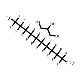 O=C(O)C(F)(F)C(F)(F)C(F)(F)C(F)(F)C(F)(F)C(F)(F)C(F)(F)C(F)(F)C(F)(F)C(F)(F)C(F)(F)F.OCC(O)CO